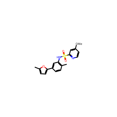 COc1ccnc(S(=O)(=O)Nc2cc(-c3ccc(C)o3)ccc2C)c1